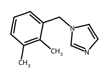 Cc1cccc(Cn2ccnc2)c1C